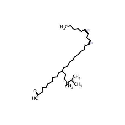 CCCCC/C=C\C/C=C\CCCCCCCCCC(CCCCCCCCC(=O)O)CCN(C)C(C)C